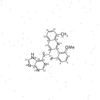 COc1cccc(F)c1-c1nc2c(C)cccc2cc1CSc1ncnc2nc[nH]c12